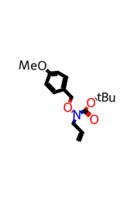 C=CCN(OCc1ccc(OC)cc1)C(=O)OC(C)(C)C